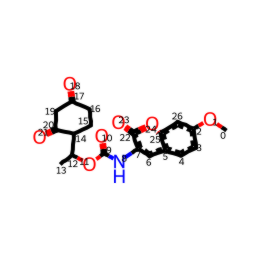 COc1ccc2cc(NC(=O)OC(C)C3CCC(=O)CC3=O)c(=O)oc2c1